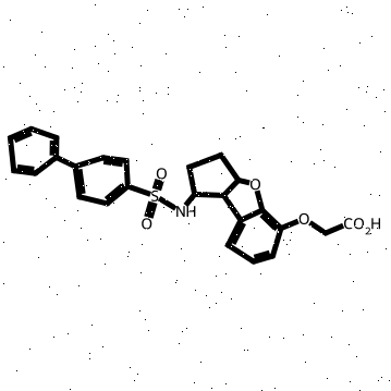 O=C(O)COc1cccc2c1OC1CCC(NS(=O)(=O)c3ccc(-c4ccccc4)cc3)C21